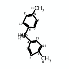 Cc1cc[c]([Al][c]2ccc(C)cc2)cc1.[HH]